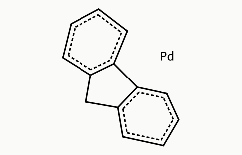 [Pd].c1ccc2c(c1)Cc1ccccc1-2